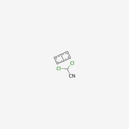 N#CC(Cl)Cl.c1cc2ccc1-2